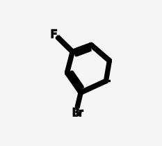 FC1=CC[CH]C(Br)=C1